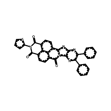 O=C1c2ccc3c(=O)n4c5nc(-c6ccccc6)c(-c6ccccc6)nc5nc4c4ccc(c2c34)C(=O)N1c1cccs1